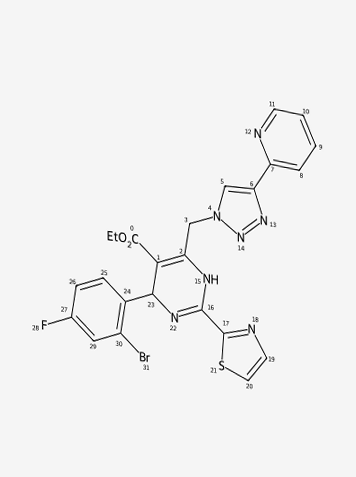 CCOC(=O)C1=C(Cn2cc(-c3ccccn3)nn2)NC(c2nccs2)=NC1c1ccc(F)cc1Br